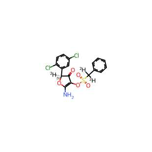 [2H]C([2H])(c1ccccc1)S(=O)(=O)OC1=C(N)O[C@@]([2H])(c2cc(Cl)ccc2Cl)C1=O